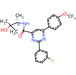 C[C@H](NC(=O)c1cc(-c2ccc(OC(F)(F)F)cc2)nc(-c2cccc(F)c2)n1)C(C)(C)O